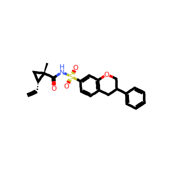 C=C[C@@H]1C[C@]1(C)C(=O)NS(=O)(=O)c1ccc2c(c1)OCC(c1ccccc1)C2